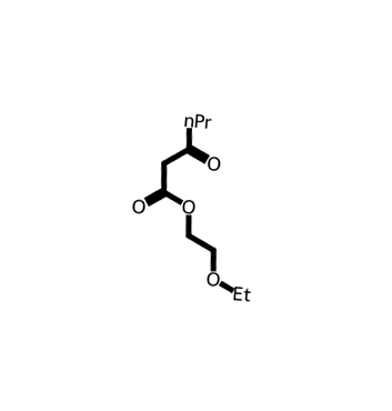 CCCC(=O)CC(=O)OCCOCC